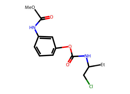 CCC(CCl)NC(=O)Oc1cccc(NC(=O)OC)c1